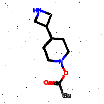 CC(C)(C)C(=O)ON1CCC(C2CNC2)CC1